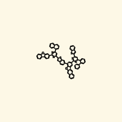 c1ccc(-c2ccccc2-c2cc(-c3cc4ccccc4s3)nc(-c3cc(-c4ccc5cc(-c6cc(-c7cccc8ccccc78)nc(-c7ccc8c(c7)oc7ccccc78)n6)sc5c4)c4oc5cc6ccccc6cc5c4c3)n2)cc1